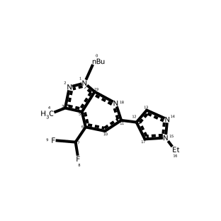 CCCCn1nc(C)c2c(C(F)F)cc(-c3cnn(CC)c3)nc21